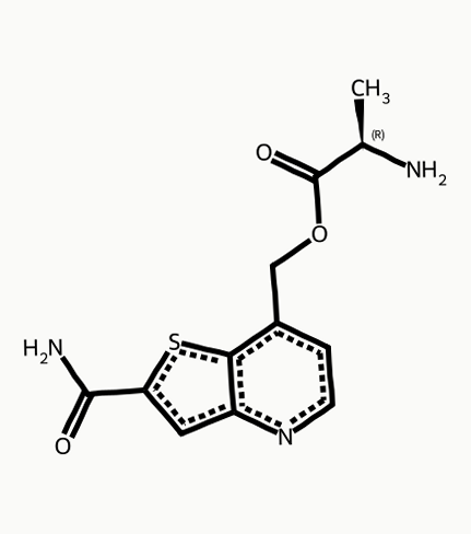 C[C@@H](N)C(=O)OCc1ccnc2cc(C(N)=O)sc12